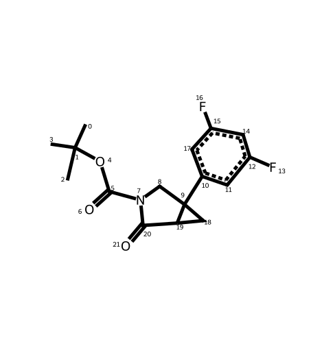 CC(C)(C)OC(=O)N1CC2(c3cc(F)cc(F)c3)CC2C1=O